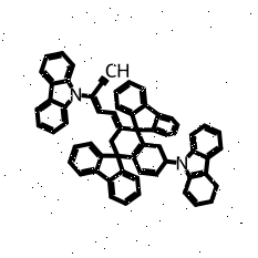 C#C/C(=C\C=C1/CC2(C3=C(CC(n4c5c(c6ccccc64)CCC=C5)C=C3)C13c1ccccc1-c1ccccc13)c1ccccc1-c1ccccc12)n1c2ccccc2c2ccccc21